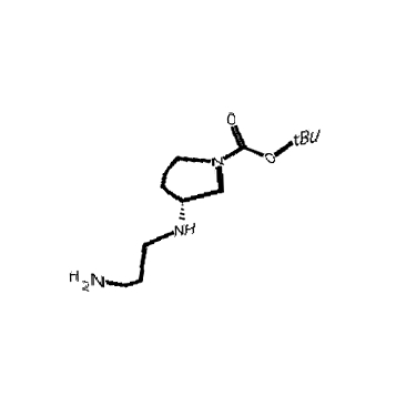 CC(C)(C)OC(=O)N1CC[C@@H](NCCN)C1